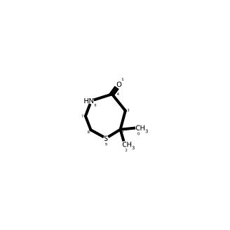 CC1(C)CC(=O)NCCS1